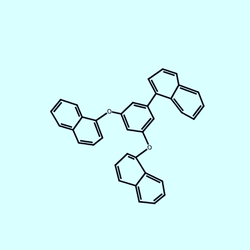 c1ccc2c(Oc3cc(Oc4cccc5ccccc45)cc(-c4cccc5ccccc45)c3)cccc2c1